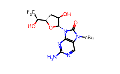 CCCCn1c(=O)n([C@@H]2O[C@H]([C@@H](O)C(F)(F)F)C[C@H]2O)c2nc(N)ncc21